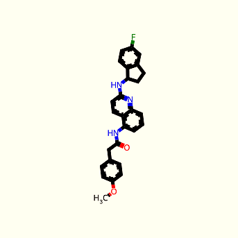 COc1ccc(CC(=O)Nc2cccc3nc(NC4CCc5cc(F)ccc54)ccc23)cc1